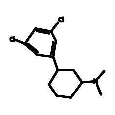 CN(C)C1CCCC(c2cc(Cl)cc(Cl)c2)C1